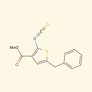 COC(=O)c1cc(Cc2ccccc2)sc1N=C=S